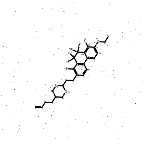 C=CCCC1COC(CCc2ccc3c(c2F)C(F)(F)C(F)(F)c2c-3ccc(OCC)c2F)OC1